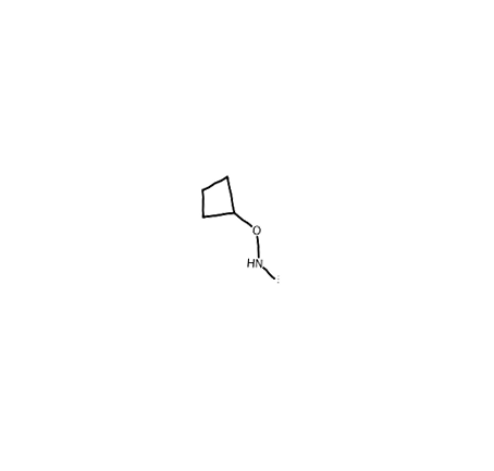 [C]NOC1CCC1